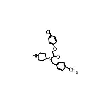 Cc1ccc(CN(C(=O)COc2ccc(Cl)cc2)C2CCNCC2)cc1